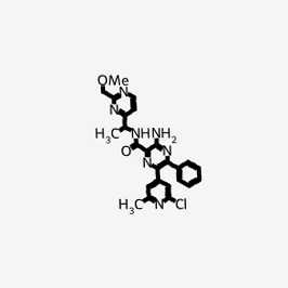 COCc1nccc(C(C)NC(=O)c2nc(-c3cc(C)nc(Cl)c3)c(-c3ccccc3)nc2N)n1